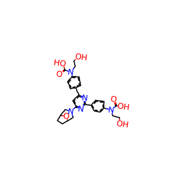 O=C(O)N(CCO)c1ccc(-c2cc(N3CC4CCC(C3)O4)nc(-c3ccc(N(CCO)C(=O)O)cc3)n2)cc1